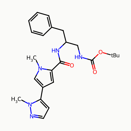 Cn1cc(-c2ccnn2C)cc1C(=O)NC(CNC(=O)OC(C)(C)C)Cc1ccccc1